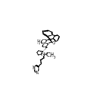 C[N+]1(CCCc2cncnc2)CCC[C@@H]1COC(=O)C1(O)c2ccccc2-c2ccccc21